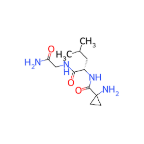 CC(C)C[C@H](NC(=O)C1(N)CC1)C(=O)NCC(N)=O